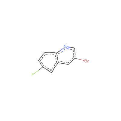 Fc1c[c]c2ncc(Br)cc2c1